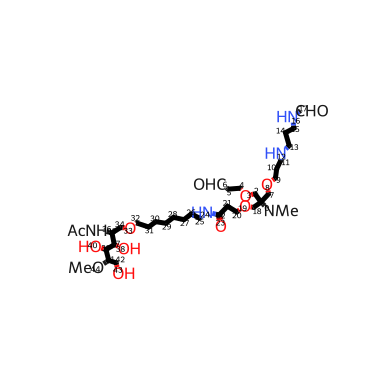 CNC(COCCC=O)(COCCCNCCCNC=O)COCCC(=O)NCCCCCCCCOCC(NC(C)=O)C(O)C(O)C(CO)OC